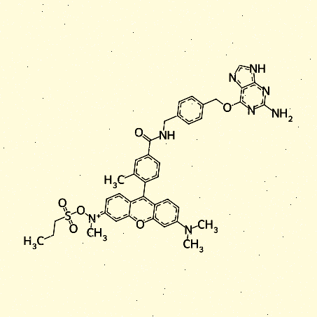 CCCS(=O)(=O)O/[N+](C)=c1\ccc2c(-c3ccc(C(=O)NCc4ccc(COc5nc(N)nc6[nH]cnc56)cc4)cc3C)c3ccc(N(C)C)cc3oc-2c1